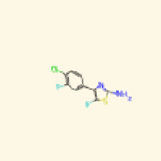 Nc1nc(-c2ccc(Cl)c(F)c2)c(F)s1